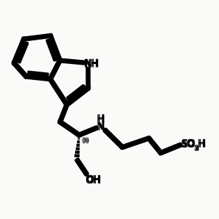 O=S(=O)(O)CCCN[C@H](CO)Cc1c[nH]c2ccccc12